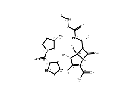 CNCC(=O)N[C@H](C)[C@H]1C(=O)N2C(C(=O)O)=C(S[C@@H]3CN[C@H](C(=O)N4CC[C@H](O)C4)C3)[C@H](C)[C@H]12